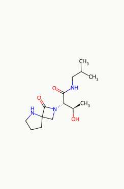 CC(C)CNC(=O)[C@H]([C@@H](C)O)N1CC2(CCCN2)C1=O